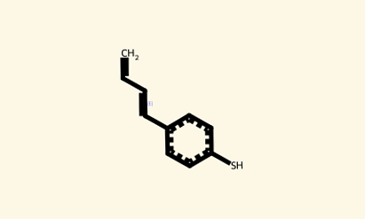 C=C/C=C/c1ccc(S)cc1